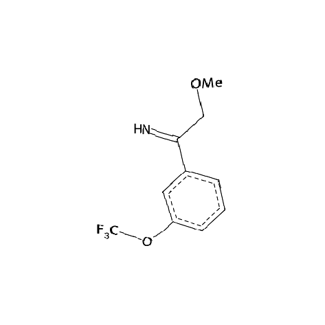 COCC(=N)c1cccc(OC(F)(F)F)c1